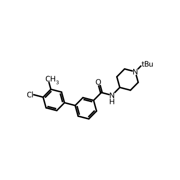 Cc1cc(-c2cccc(C(=O)NC3CCN(C(C)(C)C)CC3)c2)ccc1Cl